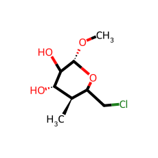 CO[C@@H]1OC(CCl)[C@@H](C)[C@H](O)C1O